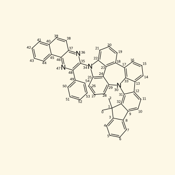 CC1(C)c2ccccc2-c2ccc3c4cccc5c6cccc7c6c6c(cccc6n(c3c21)c54)n7-c1nc2ccc3ccccc3c2nc1-c1ccccc1